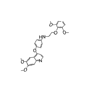 COc1cc2nccc(Oc3ccc(NCCOc4c(OC)cccc4OC)cc3)c2cc1OC